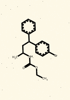 CCOC(=O)NC(C)CC(c1ccccc1)c1ccc(Br)cc1